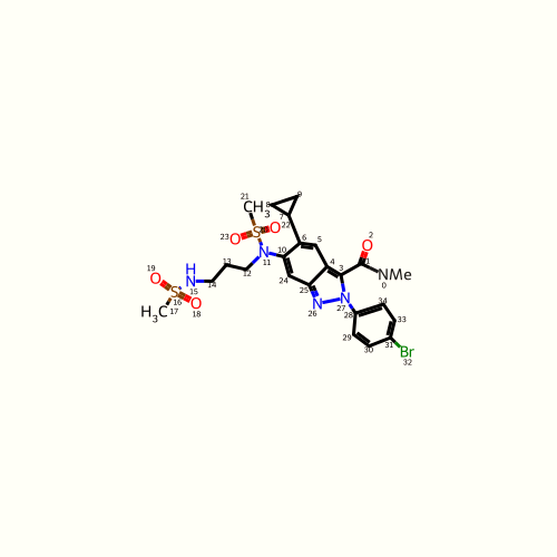 CNC(=O)c1c2cc(C3CC3)c(N(CCCNS(C)(=O)=O)S(C)(=O)=O)cc2nn1-c1ccc(Br)cc1